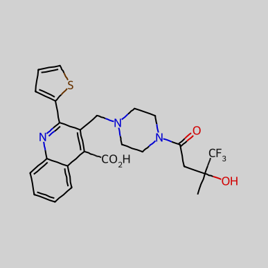 CC(O)(CC(=O)N1CCN(Cc2c(-c3cccs3)nc3ccccc3c2C(=O)O)CC1)C(F)(F)F